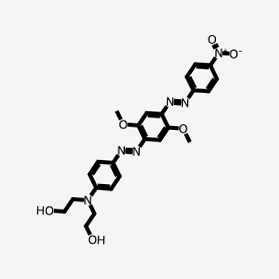 COc1cc(/N=N/c2ccc([N+](=O)[O-])cc2)c(OC)cc1/N=N/c1ccc(N(CCO)CCO)cc1